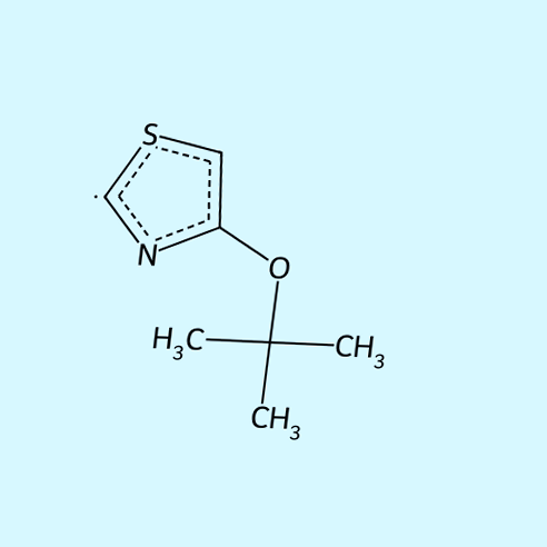 CC(C)(C)Oc1cs[c]n1